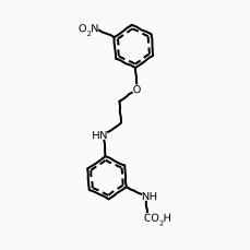 O=C(O)Nc1cccc(NCCOc2cccc([N+](=O)[O-])c2)c1